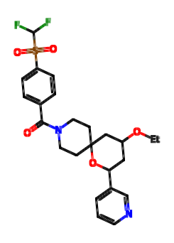 CCOC1CC(c2cccnc2)OC2(CCN(C(=O)c3ccc(S(=O)(=O)C(F)F)cc3)CC2)C1